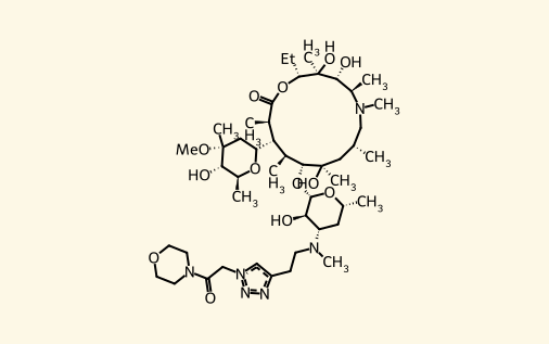 CC[C@H]1OC(=O)[C@H](C)[C@@H](C2C[C@@](C)(OC)[C@@H](O)[C@H](C)O2)[C@H](C)[C@@H](O[C@@H]2O[C@H](C)C[C@H](N(C)CCc3cn(CC(=O)N4CCOCC4)nn3)[C@H]2O)[C@](C)(O)C[C@@H](C)CN(C)[C@H](C)[C@@H](O)[C@]1(C)O